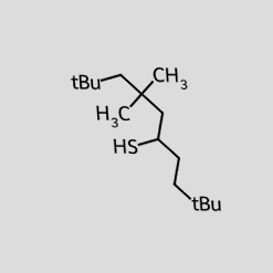 CC(C)(C)CCC(S)CC(C)(C)CC(C)(C)C